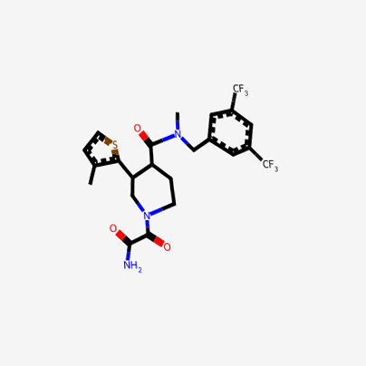 Cc1ccsc1C1CN(C(=O)C(N)=O)CCC1C(=O)N(C)Cc1cc(C(F)(F)F)cc(C(F)(F)F)c1